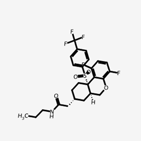 CCCNC(=O)C[C@@H]1CC[C@@]2(S(=O)(=O)c3ccc(C(F)(F)F)cc3)c3c(F)ccc(F)c3OC[C@H]2C1